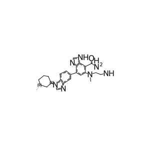 CNCCN(C)c1cc(-c2ccc3c(c2)ncn3[C@@H]2CCC[C@@H](C)C2)c2nc[nH]c2c1C(N)=O